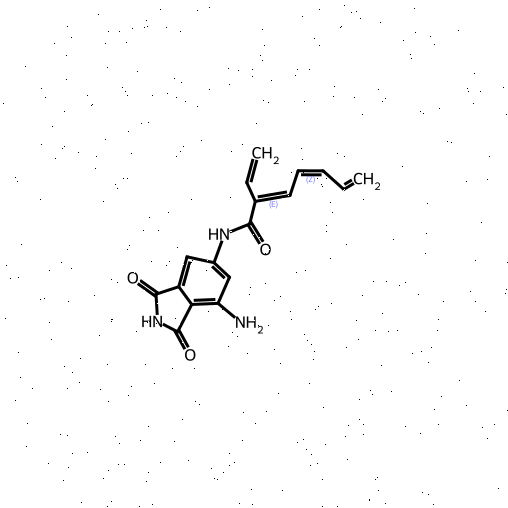 C=C/C=C\C=C(/C=C)C(=O)Nc1cc(N)c2c(c1)C(=O)NC2=O